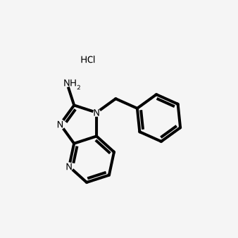 Cl.Nc1nc2ncccc2n1Cc1ccccc1